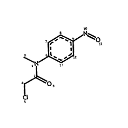 CN(C(=O)CCl)c1ccc(N=O)cc1